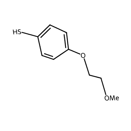 COCCOc1ccc(S)cc1